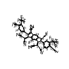 N#CC(C#N)=C1C(c2ccc(C#N)c(C(F)(F)F)c2)=C(C#N)c2cc3c(c(F)c21)C(=C(C#N)C#N)C(c1ccc(C#N)c(C(F)(F)F)c1)=C3C#N